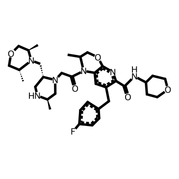 CC1COc2nc(C(=O)NC3CCOCC3)c(Cc3ccc(F)cc3)cc2N1C(=O)CN1C[C@@H](C)NC[C@@H]1CN1[C@H](C)COC[C@H]1C